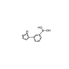 OB(O)c1cccc(-c2ccn[nH]2)c1